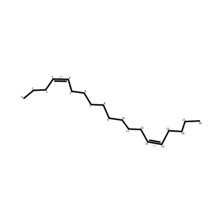 CCC/C=C\CCCCCCCC/C=C\CCCC